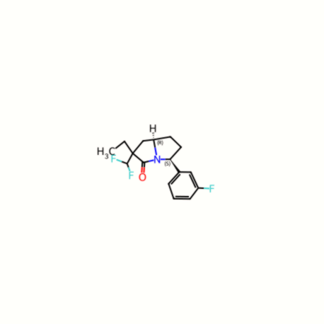 CCC1(C(F)F)C[C@H]2CC[C@@H](c3cccc(F)c3)N2C1=O